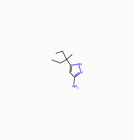 CCC(C)(CC)c1cc(N)n[nH]1